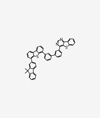 CC1(C)c2ccccc2-c2ccc(-c3cccc4c3sc3c(-c5cccc(-c6cccc(-c7ncnc8c7sc7ccccc78)c6)c5)cccc34)cc21